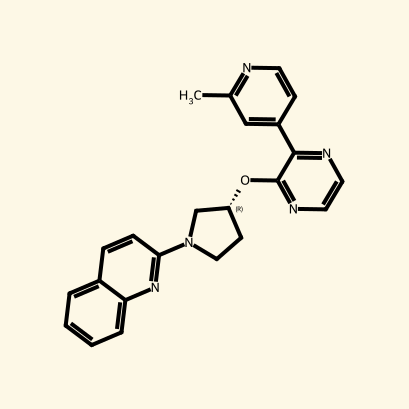 Cc1cc(-c2nccnc2O[C@@H]2CCN(c3ccc4ccccc4n3)C2)ccn1